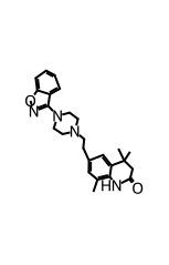 Cc1cc(CCN2CCN(c3noc4ccccc34)CC2)cc2c1NC(=O)CC2(C)C